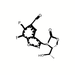 C[C@H](O)[C@H]1COC(=O)N1c1noc2c(F)c(F)c(C=O)cc12